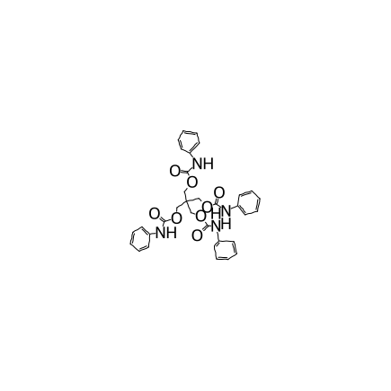 O=C(Nc1ccccc1)OCC(COC(=O)Nc1ccccc1)(COC(=O)Nc1ccccc1)COC(=O)Nc1ccccc1